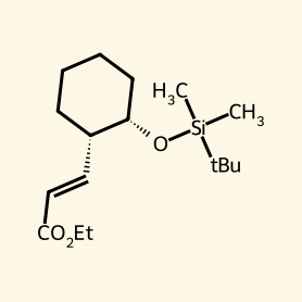 CCOC(=O)/C=C/[C@@H]1CCCC[C@@H]1O[Si](C)(C)C(C)(C)C